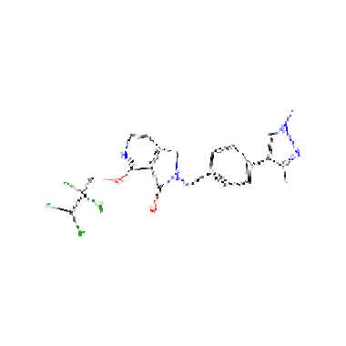 Cc1nn(C)cc1-c1ccc(CN2Cc3ccnc(OCC(F)(F)C(F)F)c3C2=O)cc1